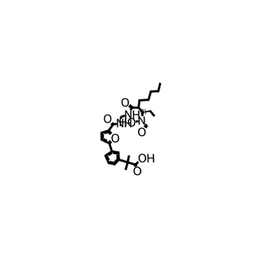 CCCCCC(C(=O)NCNC(=O)c1ccc(-c2cccc(C(C)(C)C(=O)O)c2)o1)[C@@H](CC)N(O)C=O